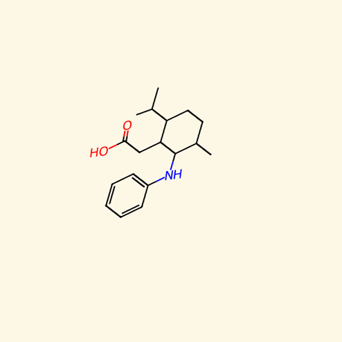 CC(C)C1CCC(C)C(Nc2ccccc2)C1CC(=O)O